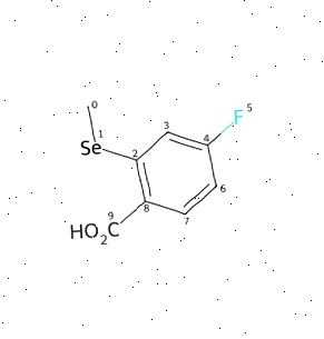 C[Se]c1cc(F)ccc1C(=O)O